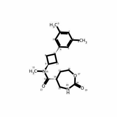 Cc1cc(C)cc([C@H]2C[C@H](N(C)C(=O)[C@@H]3CCOC(=O)NC3)C2)c1